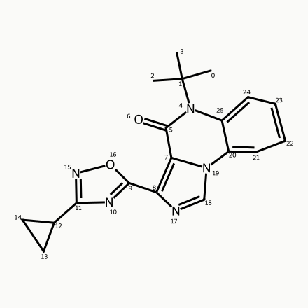 CC(C)(C)n1c(=O)c2c(-c3nc(C4CC4)no3)ncn2c2ccccc21